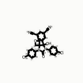 N#Cc1cc(C#N)cc(C2(O)N(c3ccc(Cl)cc3)C(=O)N(c3ccc(Cl)cc3)C23COC3)c1